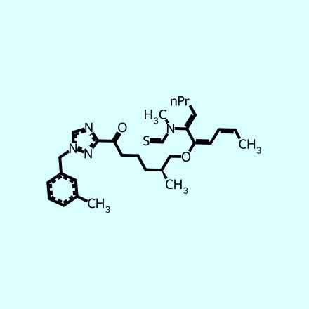 C\C=C/C=C(OC[C@@H](C)CCCC(=O)c1ncn(Cc2cccc(C)c2)n1)\C(=C\CCC)N(C)C=S